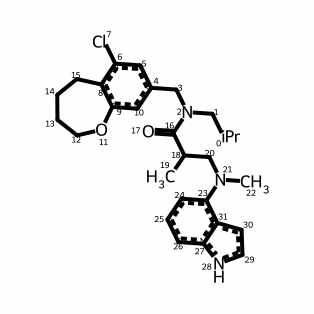 CC(C)CN(Cc1cc(Cl)c2c(c1)OCCCC2)C(=O)C(C)CN(C)c1cccc2[nH]ccc12